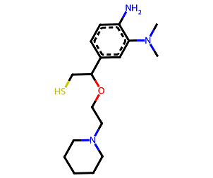 CN(C)c1cc(C(CS)OCCN2CCCCC2)ccc1N